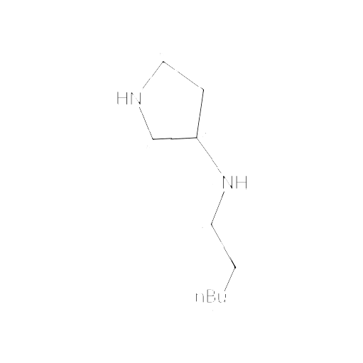 CCCCCCNC1CCNC1